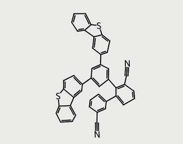 N#Cc1cccc(-c2cccc(C#N)c2-c2cc(-c3ccc4sc5ccccc5c4c3)cc(-c3ccc4sc5ccccc5c4c3)c2)c1